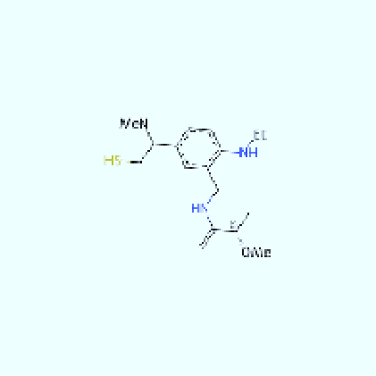 C=C(NCc1cc(C(CS)NC)ccc1NCC)[C@H](C)OC